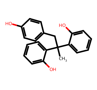 CC(Cc1ccc(O)cc1)(c1ccccc1O)c1ccccc1O